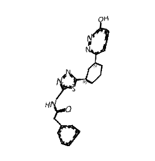 O=C(Cc1ccccc1)Nc1nnc([C@@H]2CCC[C@H](c3ccc(O)nn3)C2)s1